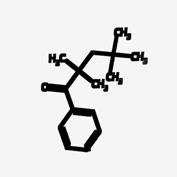 CC(C)(C)CC(C)(C)C(=O)c1cc[c]cc1